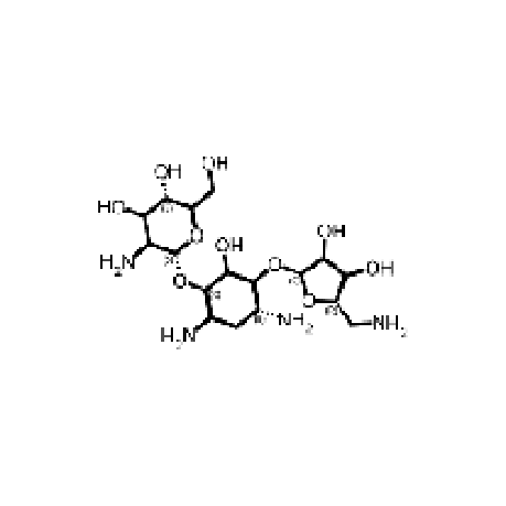 NC[C@H]1O[C@@H](OC2C(O)[C@H](O[C@H]3OC(CO)[C@@H](O)C(O)C3N)C(N)C[C@H]2N)C(O)C1O